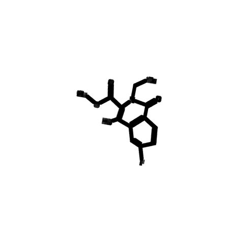 CC(C)(C)Cn1c(C(=O)OC(C)(C)C)c(O)c2cc(F)ccc2c1=O